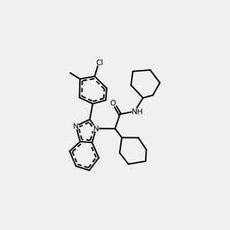 Cc1cc(-c2nc3ccccc3n2C(C(=O)NC2CCCCC2)C2CCCCC2)ccc1Cl